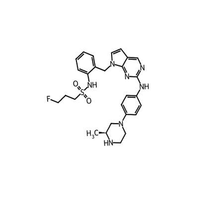 C[C@H]1CN(c2ccc(Nc3ncc4ccn(Cc5ccccc5NS(=O)(=O)CCCF)c4n3)cc2)CCN1